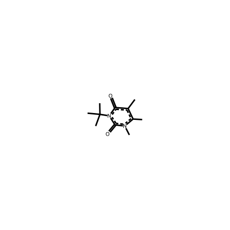 Cc1c(C)n(C)c(=O)n(C(C)(C)C)c1=O